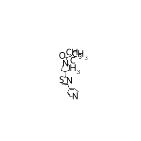 CC(C)(C)C(=O)N1CCC(c2nc(-c3ccncc3)cs2)CC1